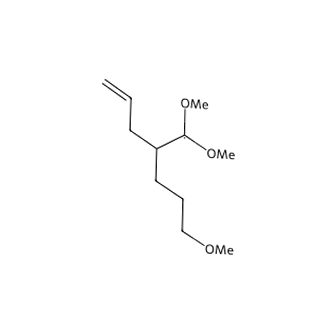 C=CCC(CCCOC)[C](OC)OC